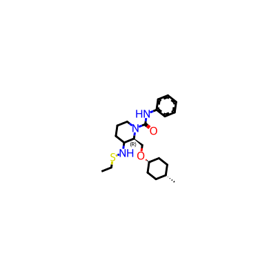 CCSNC1CCCN(C(=O)Nc2ccccc2)[C@H]1CO[C@H]1CC[C@@H](C)CC1